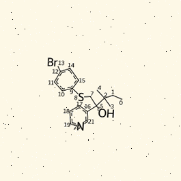 CCC(C)(C)C(O)(CSc1ccc(Br)cc1)c1cccnc1